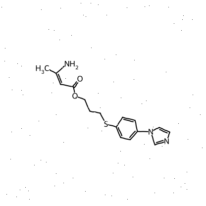 CC(N)=CC(=O)OCCCSc1ccc(-n2ccnc2)cc1